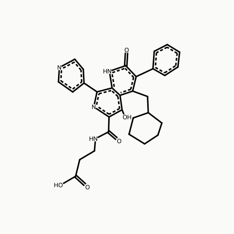 O=C(O)CCNC(=O)c1nc(-c2ccncc2)c2[nH]c(=O)c(-c3ccccc3)c(CC3CCCCC3)c2c1O